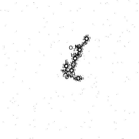 Cc1c(C(=O)NCCCN2CCN(C)CC2)c(-c2cccc(N3CCN(c4ccc(N[S+]([O-])c5ccc(NCCSc6ccccc6)c([N+](=O)[O-])c5)cc4)CC3)c2)c(-c2ccc(F)cc2)n1C